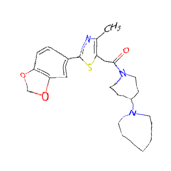 Cc1nc(-c2ccc3c(c2)OCO3)sc1C(=O)N1CCC(N2CCCCC2)CC1